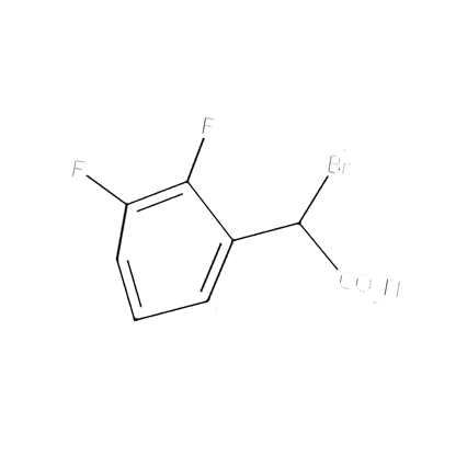 O=C(O)C(Br)c1cccc(F)c1F